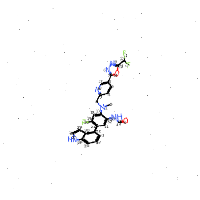 CN(Cc1ccc(-c2nnc(C(F)F)o2)cn1)c1cc(F)c(-c2cccc3[nH]ccc23)cc1NC=O